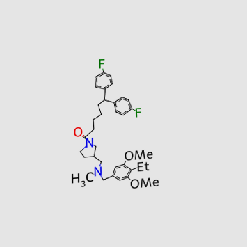 CCc1c(OC)cc(CN(C)CC2CCN(C(=O)CCCCC(c3ccc(F)cc3)c3ccc(F)cc3)C2)cc1OC